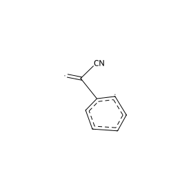 [CH]=C(C#N)c1[c]cccc1